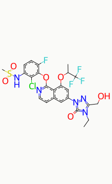 CCn1c(CO)nn(-c2cc(OC(C)C(F)(F)F)c3c(Oc4c(F)ccc(NS(C)(=O)=O)c4Cl)nccc3c2)c1=O